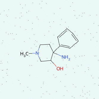 CN1CCC(N)(c2ccccc2)C(O)C1